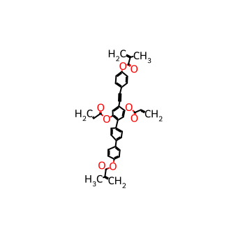 C=CC(=O)Oc1cc(-c2ccc(-c3ccc(OC(=O)C(=C)C)cc3)cc2)c(OC(=O)C=C)cc1C#Cc1ccc(OC(=O)C(=C)C)cc1